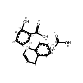 C1=COc2ccccc2C1.CC(=O)O.O=C(O)c1ccccc1O